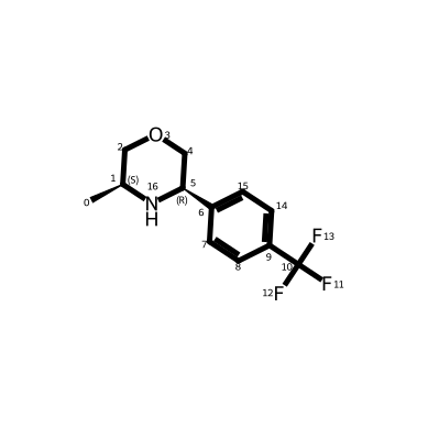 C[C@H]1COC[C@@H](c2ccc(C(F)(F)F)cc2)N1